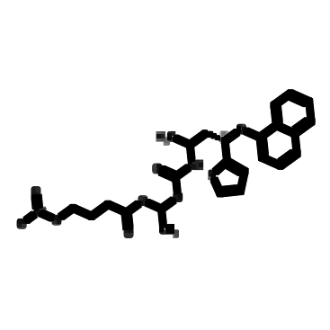 CC(C[C@H](Oc1cccc2ccccc12)c1cccs1)NC(=O)OC(C)OC(=O)CCCO[N+](=O)[O-]